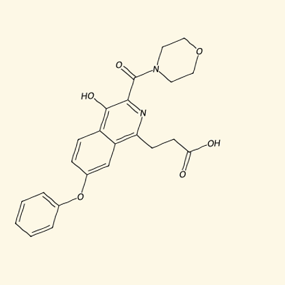 O=C(O)CCc1nc(C(=O)N2CCOCC2)c(O)c2ccc(Oc3ccccc3)cc12